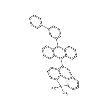 CC1(C)c2cccc3cc(-c4c5ccccc5c(-c5cccc(-c6ccccc6)c5)c5ccccc45)c4cccc1c4c23